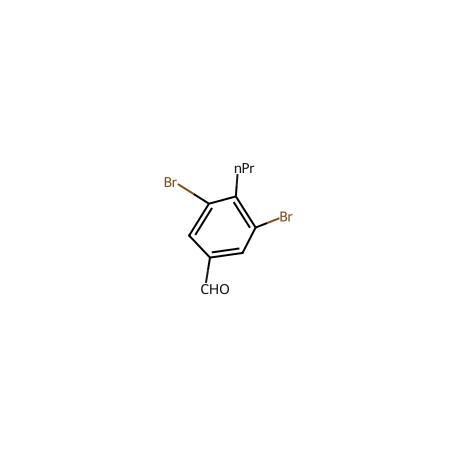 CCCc1c(Br)cc(C=O)cc1Br